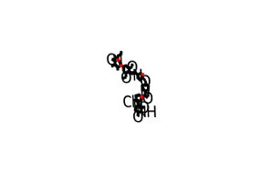 CCCn1cc(-c2cc(OC)c(CCN3CCC(OC4CCN(C(=O)c5ccc(Cl)c(-n6ccc(=O)[nH]c6=O)c5)CC4)CC3)c(OC)c2)c(C)c(C)c1=O